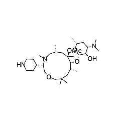 CO[C@]1(C)C[C@@H](C)CN(C)[C@@H](C2CCNCC2)COCC(C)(C)C[C@@H](C)[C@H]1O[C@@H]1O[C@H](C)C[C@H](N(C)C)[C@H]1O